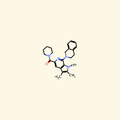 CCCn1c(C)c(C)c2cc(C(=O)N3CCCCC3)nc(N3CCc4ccccc4C3)c21